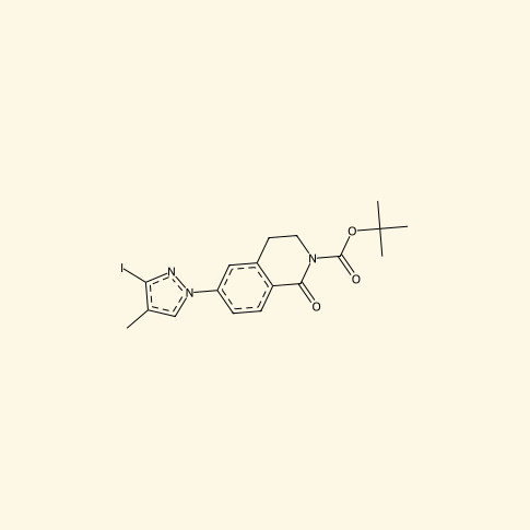 Cc1cn(-c2ccc3c(c2)CCN(C(=O)OC(C)(C)C)C3=O)nc1I